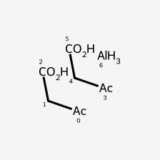 CC(=O)CC(=O)O.CC(=O)CC(=O)O.[AlH3]